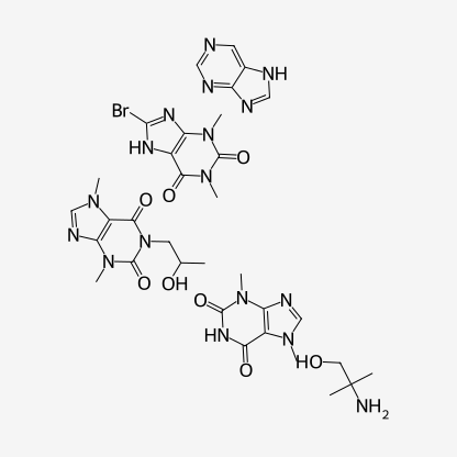 CC(C)(N)CO.CC(O)Cn1c(=O)c2c(ncn2C)n(C)c1=O.Cn1c(=O)c2[nH]c(Br)nc2n(C)c1=O.Cn1cnc2c1c(=O)[nH]c(=O)n2C.c1ncc2[nH]cnc2n1